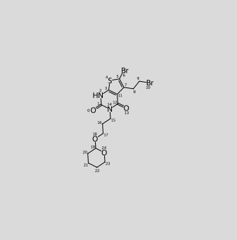 O=c1[nH]c2sc(Br)c(CCBr)c2c(=O)n1CCCOC1CCCCO1